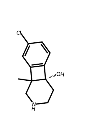 CC12CNCC[C@]1(O)c1ccc(Cl)cc12